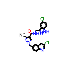 N#Cc1nn(Cc2ccc3ncc(Cl)cc3c2)cc1C(=O)NCc1n[nH]c2ccc(Cl)cc12